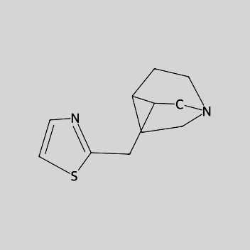 c1csc(CC2CN3CCC2CC3)n1